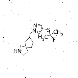 CC(C)(F)Sc1cnn(CC2CCC3(CCNC3)C2)c1